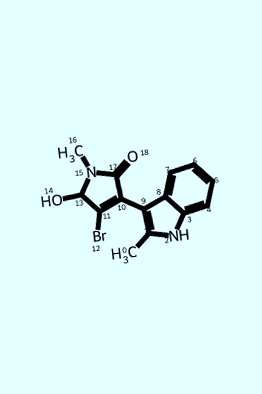 Cc1[nH]c2ccccc2c1C1=C(Br)C(O)N(C)C1=O